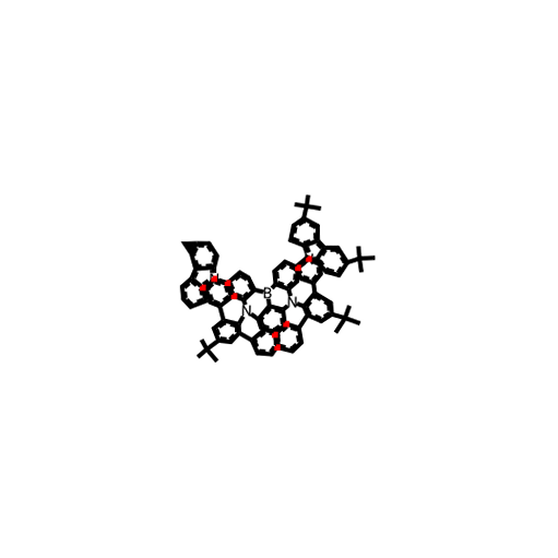 CC(C)(C)c1cc(-c2ccccc2)c(N2c3cc(-n4c5ccc(C(C)(C)C)cc5c5cc(C(C)(C)C)ccc54)ccc3B3c4ccc(-n5c6ccccc6c6c7c(ccc65)=C=7)cc4N(c4c(-c5ccccc5)cc(C(C)(C)C)cc4-c4ccccc4)c4cccc2c43)c(-c2ccccc2)c1